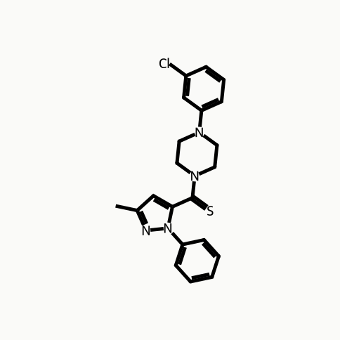 Cc1cc(C(=S)N2CCN(c3cccc(Cl)c3)CC2)n(-c2ccccc2)n1